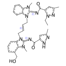 CCn1nc(C)cc1C(=O)/N=c1\n(C)c2ccccc2n1C/C=C/Cn1/c(=N/C(=O)c2cc(C)n[nH]2)n(C)c2c(CO)cccc21